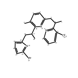 Cc1ccc(CC(C)c2ncccc2C(F)(F)F)nc1C(C)Cc1cccc(C(C)C)n1